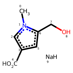 Cn1cc(C(=O)O)cc1CO.[NaH]